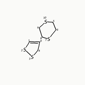 C1=CSSC1.C1CSCCS1